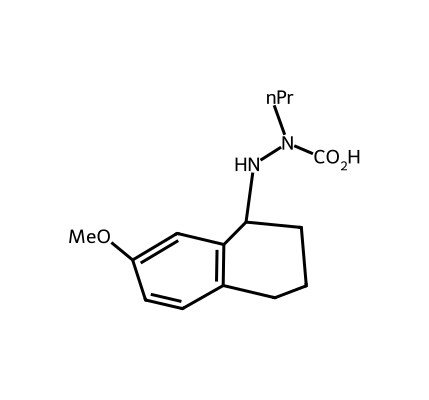 CCCN(NC1CCCc2ccc(OC)cc21)C(=O)O